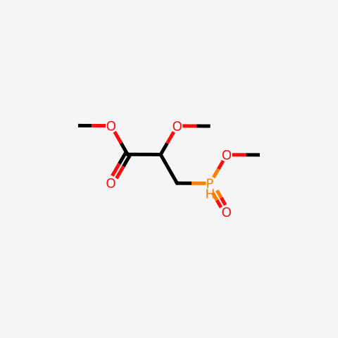 COC(=O)C(C[PH](=O)OC)OC